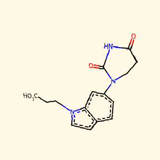 O=C(O)CCn1ccc2ccc(N3CCC(=O)NC3=O)cc21